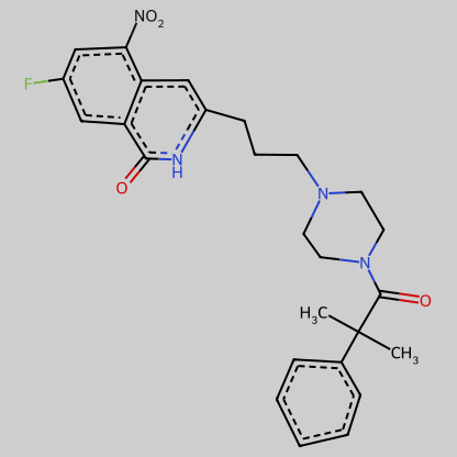 CC(C)(C(=O)N1CCN(CCCc2cc3c([N+](=O)[O-])cc(F)cc3c(=O)[nH]2)CC1)c1ccccc1